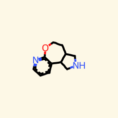 c1cnc2c(c1)C1CNCC1CCO2